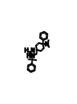 CN(C)[C@]1(c2ccccc2)CC[C@](N)(CNC(C)(C)c2ccccc2)CC1